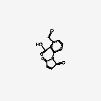 O=[C]c1cccc(N2C(=O)C=CC2=O)c1C(=O)O